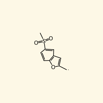 [CH2]c1cc2cc(S(C)(=O)=O)ccc2o1